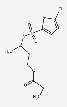 CCC(=O)OCCC(C)NS(=O)(=O)c1ccc(Cl)s1